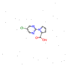 O=C(O)c1cccn1-c1ncc(Cl)cn1